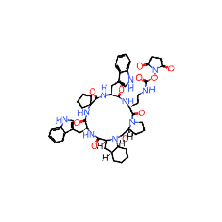 O=C(NCC[C@@H]1NC(=O)[C@H](Cc2c[nH]c3ccccc23)NC(=O)C2(CCCC2)NC(=O)[C@H](Cc2c[nH]c3ccccc23)NC(=O)[C@@H]2C[C@@H]3CCCC[C@@H]3N2C(=O)[C@H]2CCCN2C1=O)ON1C(=O)CCC1=O